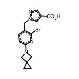 O=C(O)c1cnn(Cc2ccc(N3CC4(CC4)C3)nc2Br)c1